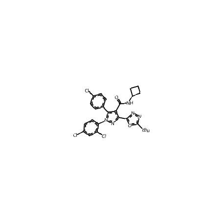 CC(C)(C)c1nnc(-c2nn(-c3ccc(Cl)cc3Cl)c(-c3ccc(Cl)cc3)c2C(=O)NC2CCC2)o1